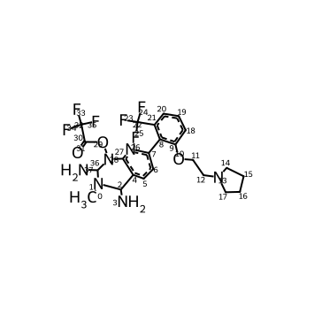 CN1C(N)c2ccc(-c3c(OCCN4CCCC4)cccc3C(F)(F)F)nc2N(OC(=O)C(F)(F)F)C1N